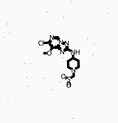 COc1c(Cl)ncn2nc(NC3CCN(C[SH](=O)=O)CC3)nc12